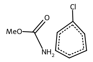 COC(N)=O.Clc1ccccc1